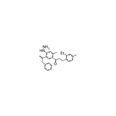 C=C(Cc1ccccc1)c1cc(C(=O)CCc2ccc(C)cc2CC)c(C)cc1NN